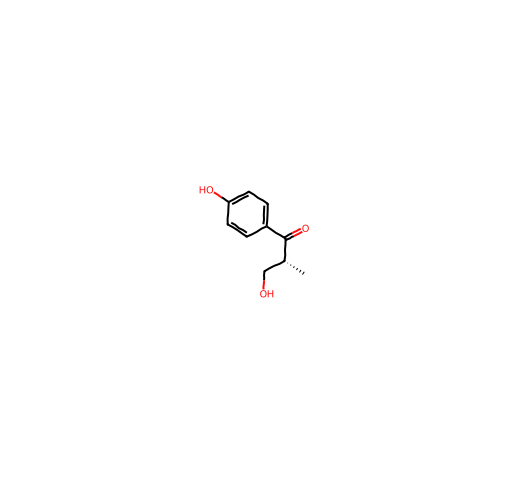 C[C@H](CO)C(=O)c1ccc(O)cc1